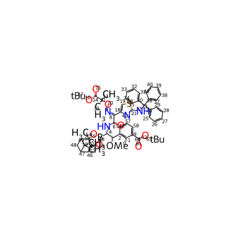 COc1c(CC(NC(=O)/C(=N/OC(C)(C)C(=O)OC(C)(C)C)c2csc(NC(c3ccccc3)(c3ccccc3)c3ccccc3)n2)B2OC3CC4CC(C4(C)C)C3(C)O2)cccc1C(=O)OC(C)(C)C